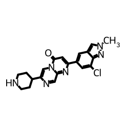 Cn1cc2cc(-c3cc(=O)n4cc(C5CCNCC5)ncc4n3)cc(Cl)c2n1